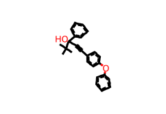 CC(C)(C)C(O)(C#Cc1ccc(Oc2ccccc2)cc1)c1ccccc1